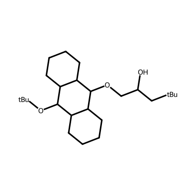 CC(C)(C)CC(O)COC1C2CCCCC2C(OC(C)(C)C)C2CCCCC21